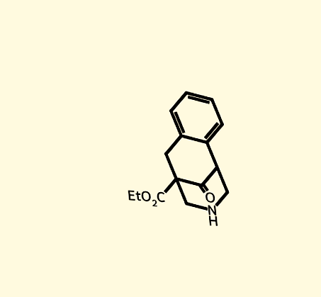 CCOC(=O)C12CNCC(C1=O)c1ccccc1C2